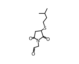 CC(C)CCSC1CC(=O)N(CC=O)C1=O